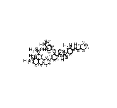 C=C(CCC1=C(CN2CCN(c3ccc(C(=O)NS(=O)(=O)c4ccc(NCC5CCOCC5)c(N)c4)c(Oc4cnc5[nH]ccc5c4)c3)CC2)CCC(C)(C)C1)N(C)C